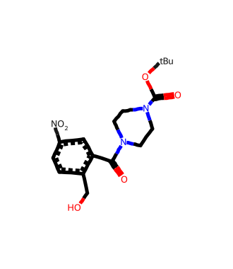 CC(C)(C)OC(=O)N1CCN(C(=O)c2cc([N+](=O)[O-])ccc2CO)CC1